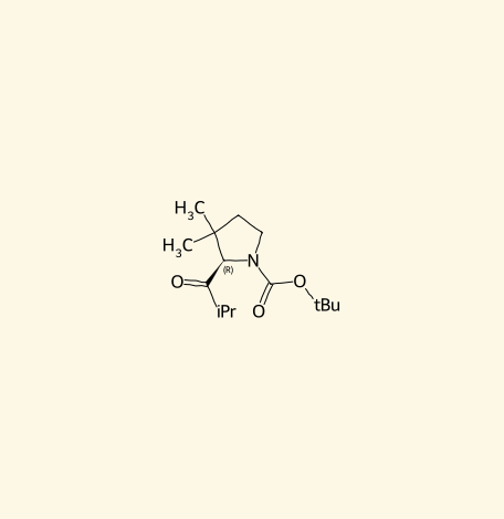 CC(C)C(=O)[C@@H]1N(C(=O)OC(C)(C)C)CCC1(C)C